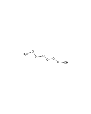 BOOOOOOO